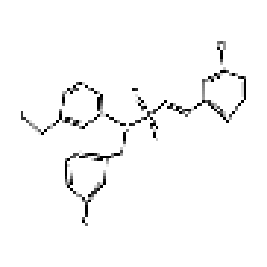 O=S(=O)(/C=C/c1cccc(Cl)c1)N(Cc1cccc(Cl)c1)c1cccc(CI)c1